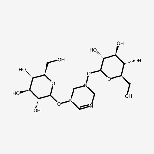 OC[C@H]1OC(ON2C=NCN(OC3O[C@H](CO)[C@@H](O)[C@H](O)[C@H]3O)C2)[C@H](O)[C@@H](O)[C@@H]1O